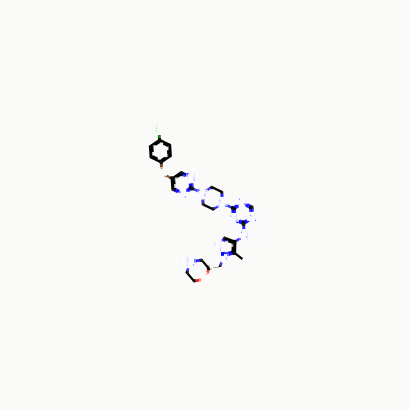 Cc1c(Nc2ncnc(N3CCN(c4ncc(Sc5ccc(F)cc5)cn4)CC3)n2)cnn1C[C@@H]1CNCCO1